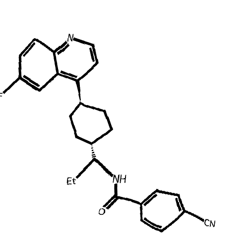 CCC(NC(=O)c1ccc(C#N)cc1)[C@H]1CC[C@H](c2ccnc3ccc(F)cc32)CC1